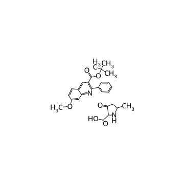 CC1CC(=O)C(C(=O)O)N1.COc1ccc2cc(C(=O)OC(C)(C)C)c(-c3ccccc3)nc2c1